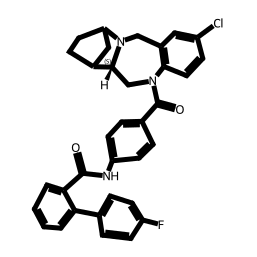 O=C(Nc1ccc(C(=O)N2C[C@@H]3C4CCC(C4)N3Cc3cc(Cl)ccc32)cc1)c1ccccc1-c1ccc(F)cc1